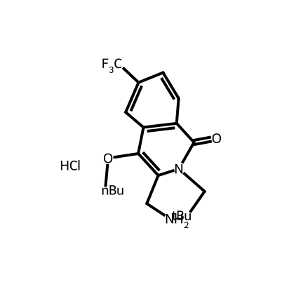 CCCCOc1c(CN)n(CC(C)(C)C)c(=O)c2ccc(C(F)(F)F)cc12.Cl